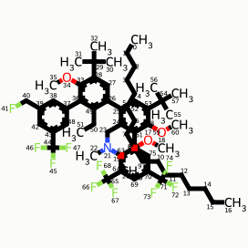 CCCCCCCCC(CCCCCCCC)(OC)[C@H](C)N(C)Cc1c(-c2cc(C(C)(C)C)c(OC)c(-c3cc(CF)cc(C(F)(F)F)c3)c2CC)cc(C(C)(C)C)c(OC)c1-c1cc(C(F)(F)F)cc(C(F)(F)F)c1